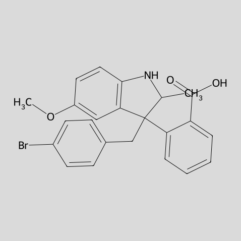 COc1ccc2c(c1)C(Cc1ccc(Br)cc1)(c1ccccc1C(=O)O)C(C)N2